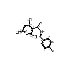 Cc1ccc(C=NC(C)c2c(Cl)cc(Cl)cc2Cl)cc1